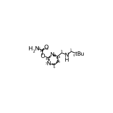 CC(C)(C)CNCc1ccnc(OC(N)=O)n1